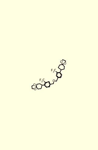 FC(F)(F)c1cc(COCc2ccc(C3CCC4(CC3)OCCO4)c(C(F)(F)F)c2)ccc1C1CCC2(CC1)OCCO2